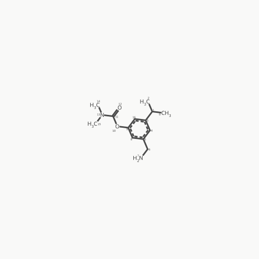 CC(C)c1cc(CN)cc(OC(=O)N(C)C)c1